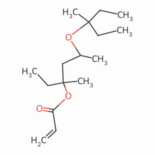 C=CC(=O)OC(C)(CC)CC(C)OC(C)(CC)CC